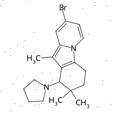 Cc1c2c(n3ccc(Br)cc13)CCC(C)(C)C2N1CCCC1